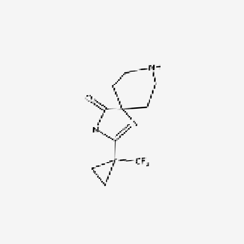 O=C1NC(C2(C(F)(F)F)CC2)=NC12CCNCC2